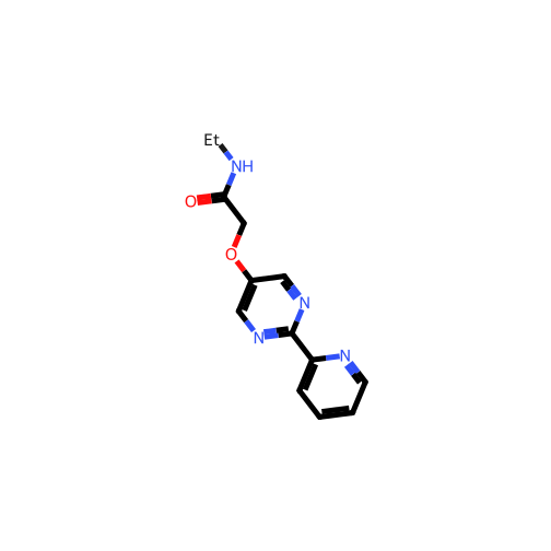 CCNC(=O)COc1cnc(-c2ccccn2)nc1